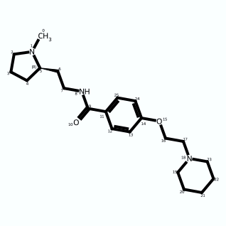 CN1CCC[C@@H]1CCNC(=O)c1ccc(OCCN2CCCCC2)cc1